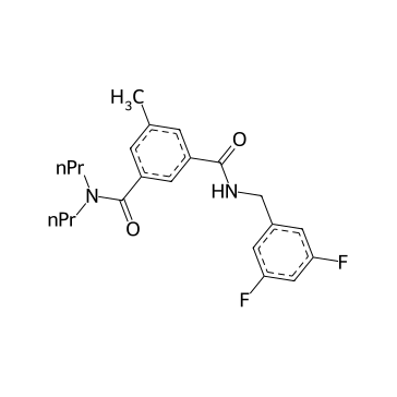 CCCN(CCC)C(=O)c1cc(C)cc(C(=O)NCc2cc(F)cc(F)c2)c1